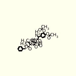 CC(=O)Oc1ccc(C(N)C(=O)N[C@@]2(NC=O)C(=O)N3[C@@H](C(=O)OCc4ccccc4)C(C)(C)S[C@@H]32)cc1OC(C)=O